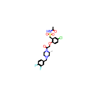 CC(=O)NS(=O)(=O)Cc1cc(Cl)ccc1OCC(=O)N1CCN(Cc2ccc(F)c(F)c2)C[C@H]1C